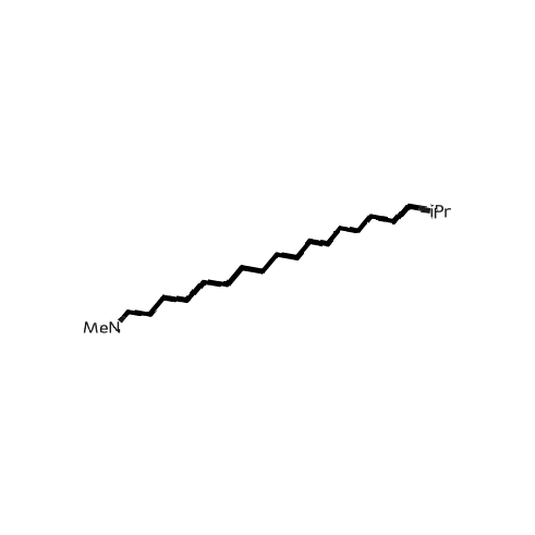 CNCCCCCCCCCCCCCCCCCC(C)C